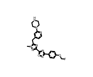 Cn1nc(-c2nc(-c3ccc(OCF)cc3)no2)nc1Cc1ccnc(N2CCNCC2)c1